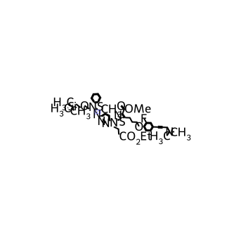 CCOC(=O)CCCN(c1cc(C)c(/N=c2\sc3ccccc3n2COCC[Si](C)(C)C)nn1)c1nc(C(=O)OC)c(CCCOc2ccc(C#CCN(C)C)cc2F)s1